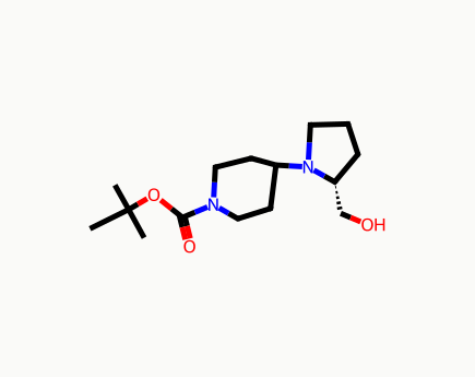 CC(C)(C)OC(=O)N1CCC(N2CCC[C@@H]2CO)CC1